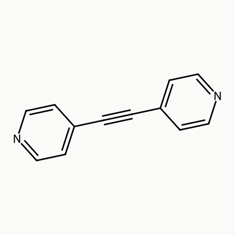 C(#Cc1ccncc1)c1ccncc1